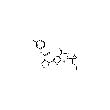 COCC1(c2nc3sc(C4CCCN4C(=O)Oc4cccc(C)c4)nc3c(=O)[nH]2)CC1